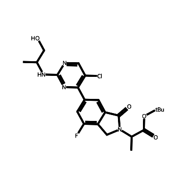 CC(CO)Nc1ncc(Cl)c(-c2cc(F)c3c(c2)C(=O)N(C(C)C(=O)OC(C)(C)C)C3)n1